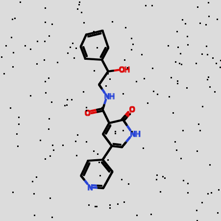 O=C(NCC(O)c1ccccc1)c1cc(-c2ccncc2)c[nH]c1=O